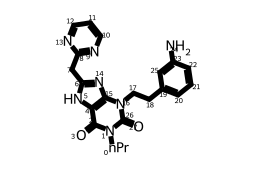 CCCn1c(=O)c2[nH]c(Cc3ncccn3)nc2n(CCc2cccc(N)c2)c1=O